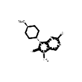 CO[C@H]1CC[C@H](n2c(=O)n(C)c3cnc(Cl)nc32)CC1